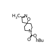 CCCCOC(=O)N1CCC2(CC1)CC(C)=NO2